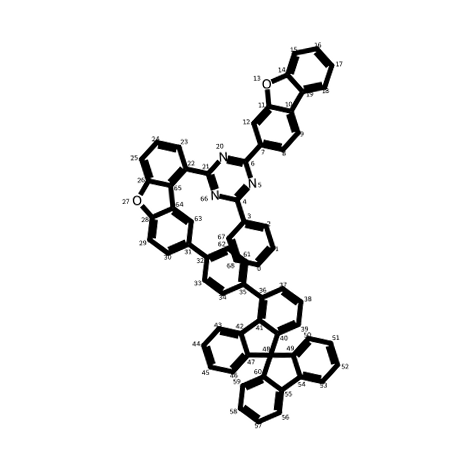 c1ccc(-c2nc(-c3ccc4c(c3)oc3ccccc34)nc(-c3cccc4oc5ccc(-c6ccc(-c7cccc8c7-c7ccccc7C87c8ccccc8-c8ccccc87)cc6)cc5c34)n2)cc1